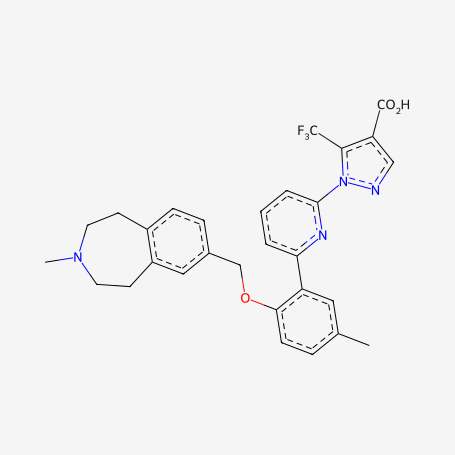 Cc1ccc(OCc2ccc3c(c2)CCN(C)CC3)c(-c2cccc(-n3ncc(C(=O)O)c3C(F)(F)F)n2)c1